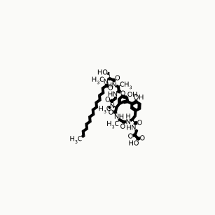 CCCCCCCCCCCCCCCC(=O)N(C)[C@H](CO)C(=O)N[C@H](C)C(=O)NCC(=O)N(C)[C@@H]1C(=O)N[C@@H](C)C(=O)N[C@H](C(=O)NCC(=O)C(=O)O)Cc2ccc(O)c(c2)-c2cc1ccc2O